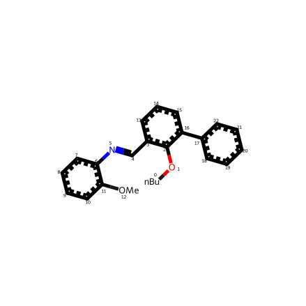 CCCCOc1c(/C=N/c2ccccc2OC)cccc1-c1ccccc1